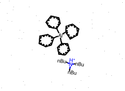 CCCC[NH+](CCCC)CCCC.c1cc[c]([Al-]([c]2ccccc2)([c]2ccccc2)[c]2ccccc2)cc1